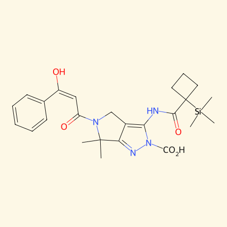 CC1(C)c2nn(C(=O)O)c(NC(=O)C3([Si](C)(C)C)CCC3)c2CN1C(=O)/C=C(/O)c1ccccc1